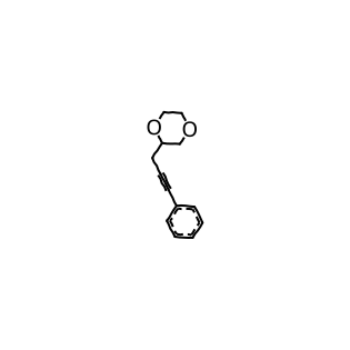 C(#Cc1ccccc1)CC1COCCO1